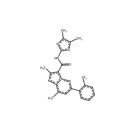 Cc1nc(NC(=O)c2c(C)nc3c(C)cc(-c4ccccc4C(F)(F)F)nn23)sc1C